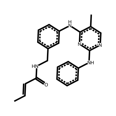 C/C=C/C(=O)NCc1cccc(Nc2nc(Nc3ccccc3)ncc2C)c1